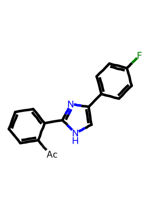 CC(=O)c1ccccc1-c1nc(-c2ccc(F)cc2)c[nH]1